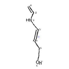 C=CN/C=C/CO